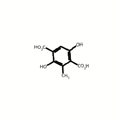 Cc1c(O)c(C(=O)O)cc(O)c1C(=O)O